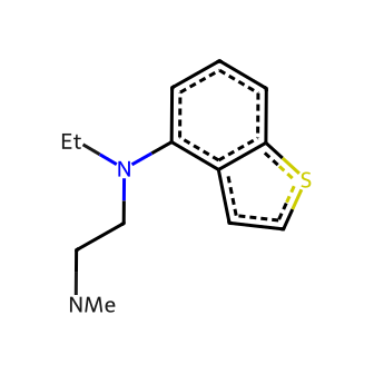 CCN(CCNC)c1cccc2sccc12